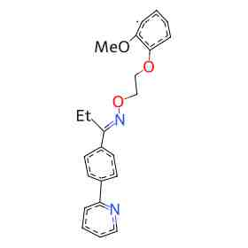 CC/C(=N\OCCOc1ccc[c]c1OC)c1ccc(-c2ccccn2)cc1